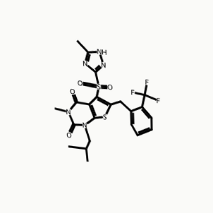 Cc1nc(S(=O)(=O)c2c(Cc3ccccc3C(F)(F)F)sc3c2c(=O)n(C)c(=O)n3CC(C)C)n[nH]1